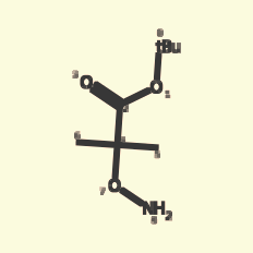 CC(C)(C)OC(=O)C(C)(C)ON